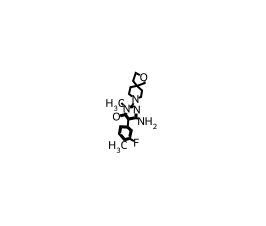 Cc1ccc(-c2c(N)nc(N3CCC4(CCOC4)CC3)n(C)c2=O)cc1F